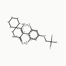 Cc1cc(OCC(F)(F)F)cc(C)c1C1=C(O)C2(CCCCC2)CNC1=O